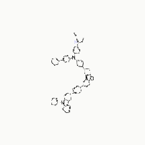 C=C/C=C(\C=C)C1=CCC(N(c2ccc(C3=CCCC=C3)cc2)c2ccc(C3=Cc4c(oc5ccc(C6C=CC(C7C=Cc8c(c9c(n8C8=CCCC=C8)CCC=C9)C7)=CC6)cc45)CC3)cc2)C=C1